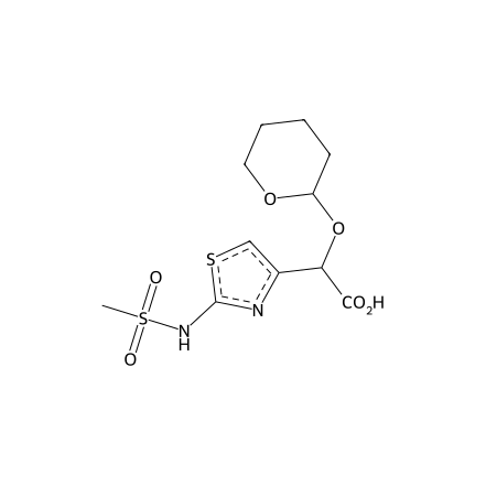 CS(=O)(=O)Nc1nc(C(OC2CCCCO2)C(=O)O)cs1